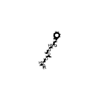 C=C(NCCOCC(C)OC(C)COCCNC(=O)CC[C@@H]1C2CC/C=C\CCC21C)OCC